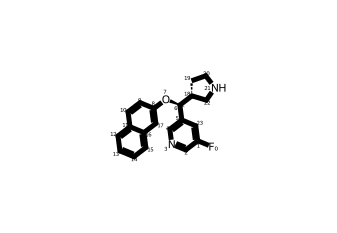 Fc1cncc([C@@H](Oc2ccc3ccccc3c2)[C@@H]2CCNC2)c1